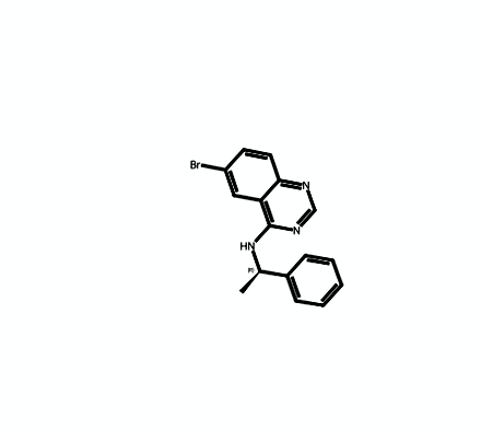 C[C@@H](Nc1ncnc2ccc(Br)cc12)c1ccccc1